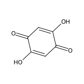 O=C1C=C(O)C(=O)C=C1O